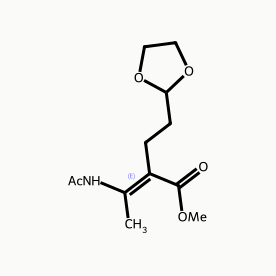 COC(=O)/C(CCC1OCCO1)=C(\C)NC(C)=O